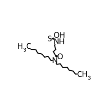 CCCCCCCCN(CCCCCCCC)C(=O)CCCNC(O)=S